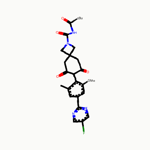 COc1cc(-c2ncc(F)cn2)cc(C)c1C1C(=O)CC2(CC1=O)CN(C(=O)NC(=O)C(C)(C)C)C2